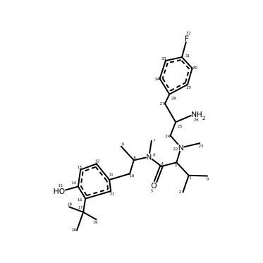 CC(C)C(C(=O)N(C)C(C)Cc1ccc(O)c(C(C)(C)C)c1)N(C)CC(N)Cc1ccc(F)cc1